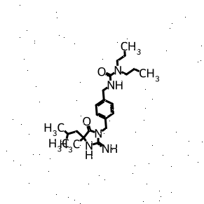 CCCN(CCC)C(=O)NCc1ccc(CN2C(=N)NC(C)(CC(C)C)C2=O)cc1